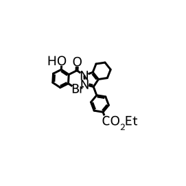 CCOC(=O)c1ccc(-c2nn(C(=O)c3c(O)cccc3Br)c3c2CCCC3)cc1